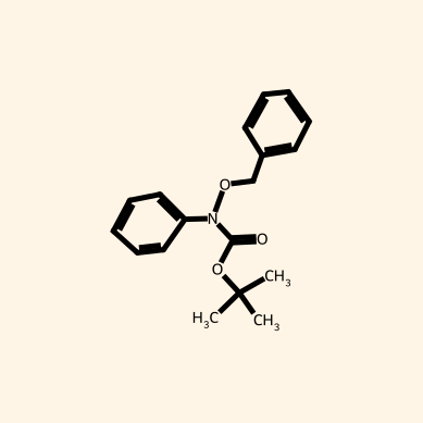 CC(C)(C)OC(=O)N(OCc1ccccc1)c1ccccc1